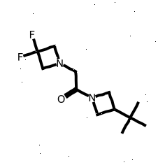 CC(C)(C)C1CN(C(=O)CN2CC(F)(F)C2)C1